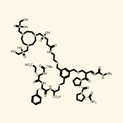 CCCCNC(=O)/N=C/C(CSCc1cc(CSCCNC(=O)CCP(=O)(O)CN2CCN(CP(=O)(O)CO)CCN(CP(=O)(O)CO)CC2)cc(CSCC(NC(=O)[C@H](Cc2ccccc2)NC(=O)[C@H](CCC(=O)O)NC(=O)[C@@H](C)CC)C(=O)O)c1)C(=O)N1CCC[C@H]1C(=O)N1CCC[C@H]1C(N)=O